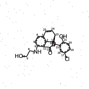 O=C1c2c3ccc(NCCO)c2C(=O)N(c2cc(Cl)ccc2O)C1C=C3